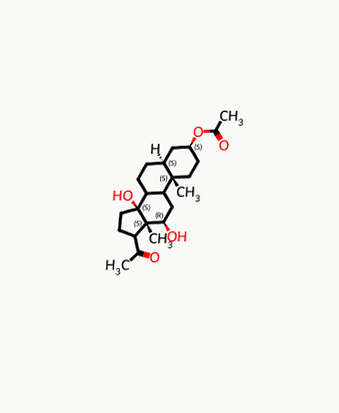 CC(=O)O[C@H]1CC[C@]2(C)C3C[C@@H](O)[C@]4(C)C(C(C)=O)CC[C@]4(O)C3CC[C@H]2C1